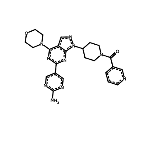 Nc1ncc(-c2nc(N3CCOCC3)c3cnn(C4CCN(C(=O)c5cccnc5)CC4)c3n2)cn1